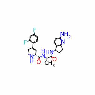 C[C@H](NC(=O)[C@H]1C=C(c2ccc(F)cc2F)CCN1)C(=O)N[C@@H]1CCc2nc(N)ccc21